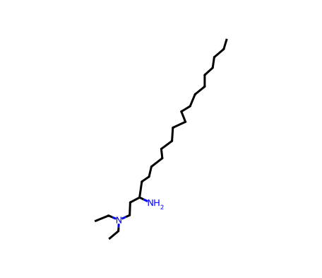 CCCCCCCCCCCCCCCCCC(N)CCN(CC)CC